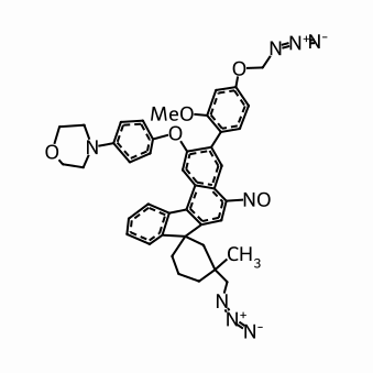 COc1cc(OCN=[N+]=[N-])ccc1-c1cc2c(N=O)cc3c(c2cc1Oc1ccc(N2CCOCC2)cc1)-c1ccccc1C31CCCC(C)(CN=[N+]=[N-])C1